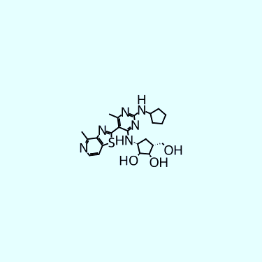 Cc1nc(NC2CCCC2)nc(N[C@@H]2C[C@H](CO)[C@@H](O)[C@H]2O)c1-c1nc2c(C)nccc2s1